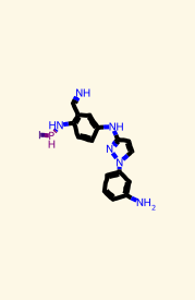 N=Cc1cc(Nc2ccn(-c3cccc(N)c3)n2)ccc1NPI